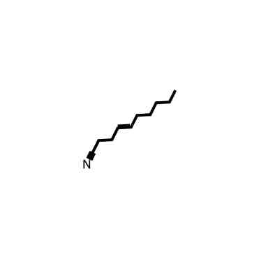 CCCCCC=CCCC#N